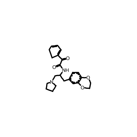 O=C(NC(Cc1ccc2c(c1)OCCO2)CN1CCCC1)C(=O)C1=CC=CCC1